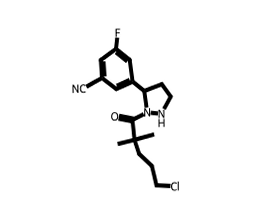 CC(C)(CCCCl)C(=O)N1NCCC1c1cc(F)cc(C#N)c1